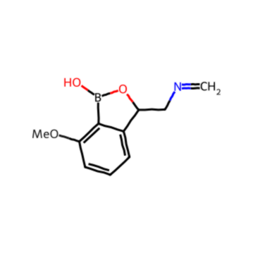 C=NCC1OB(O)c2c(OC)cccc21